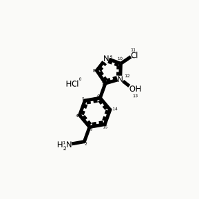 Cl.NCc1ccc(-c2cnc(Cl)n2O)cc1